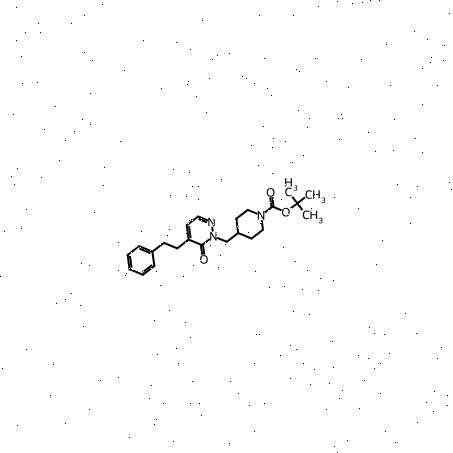 CC(C)(C)OC(=O)N1CCC(Cn2nccc(CCc3ccccc3)c2=O)CC1